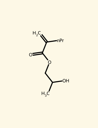 C=C(CCC)C(=O)OCC(C)O